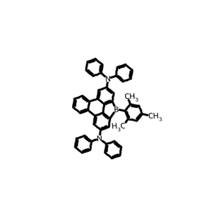 Cc1cc(C)c(B2c3cc(N(c4ccccc4)c4ccccc4)cc4c5ccccc5c5cc(N(c6ccccc6)c6ccccc6)cc2c5c34)c(C)c1